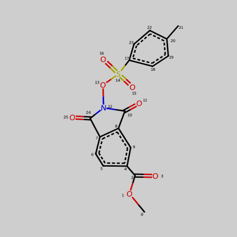 COC(=O)c1ccc2c(c1)C(=O)N(OS(=O)(=O)c1ccc(C)cc1)C2=O